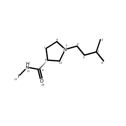 CC(C)CCN1CC[C@@H](C(=O)NI)C1